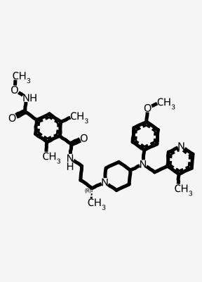 CONC(=O)c1cc(C)c(C(=O)NCC[C@@H](C)N2CCC(N(Cc3cnccc3C)c3ccc(OC)cc3)CC2)c(C)c1